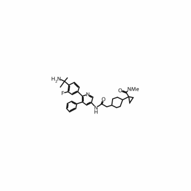 CNC(=O)C1(C2CCC(CC(=O)Nc3cnc(-c4ccc(C(C)(C)N)c(F)c4)c(-c4ccccc4)c3)CC2)CC1